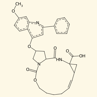 COc1ccc2c(OC3CC4C(=O)NC5(C(=O)O)CC5C=CCCCCOC(=O)N4C3)cc(-c3ccccc3)nc2c1